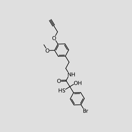 C#CCOc1ccc(CCNC(=O)C(O)(S)c2ccc(Br)cc2)cc1OC